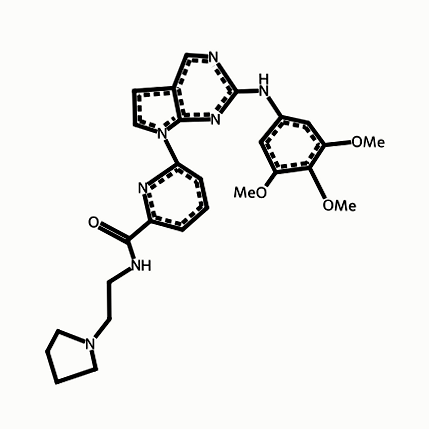 COc1cc(Nc2ncc3ccn(-c4cccc(C(=O)NCCN5CCCC5)n4)c3n2)cc(OC)c1OC